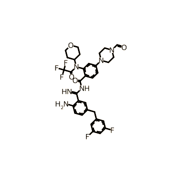 N=C(NC(=O)c1ccc(N2CCN(C=O)CC2)cc1N(C(=O)C(F)(F)F)C1CCOCC1)c1cc(Cc2cc(F)cc(F)c2)ccc1N